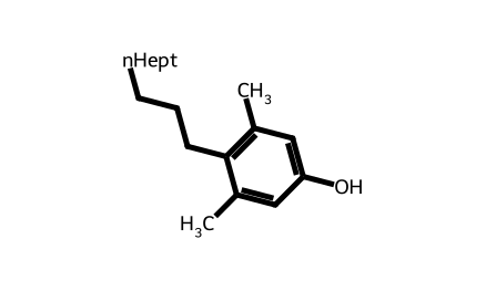 CCCCCCCCCCc1c(C)cc(O)cc1C